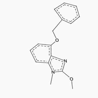 COc1nc2c(OCc3ccccc3)cccc2n1C